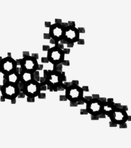 c1ccc2c(c1)-c1ccccc1C21c2ccccc2-c2c(-c3nc(-c4ccc(-c5ccc6c(c5)sc5ccccc56)cc4)nc(-c4ccc(-c5cccc6ccccc56)cc4)n3)cccc21